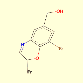 CC(C)C1C=Nc2cc(CO)cc(Br)c2O1